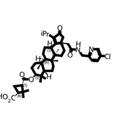 CC(C)C1=C2[C@H]3CC[C@@H]4[C@@]5(C)CC[C@H](OC(=O)[C@H]6C[C@@H](C(=O)O)C6(C)C)C(C)(C)[C@@H]5CC[C@@]4(C)[C@]3(C)CC[C@@]2(CC(=O)NCc2ccc(Cl)cn2)CC1=O